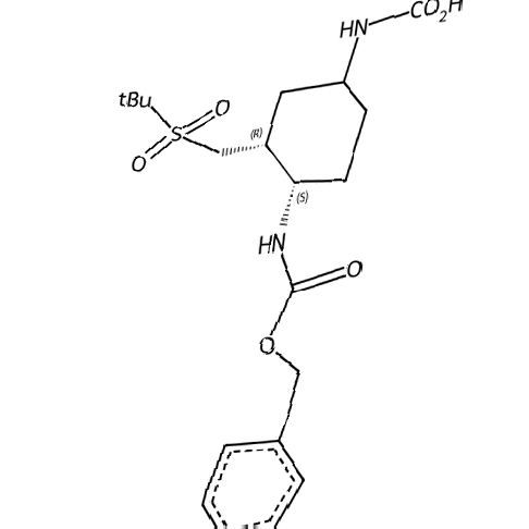 CC(C)(C)S(=O)(=O)C[C@@H]1CC(NC(=O)O)CC[C@@H]1NC(=O)OCc1ccccc1